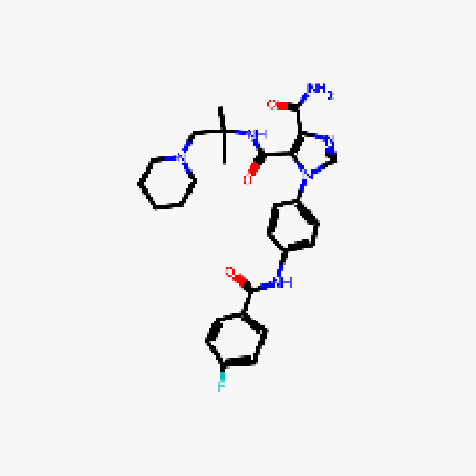 CC(C)(CN1CCCCC1)NC(=O)c1c(C(N)=O)ncn1-c1ccc(NC(=O)c2ccc(F)cc2)cc1